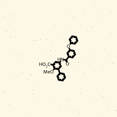 COc1c(C(=O)O)cc(NC(=O)c2cccc(Oc3ccccc3)c2)cc1-c1ccccc1